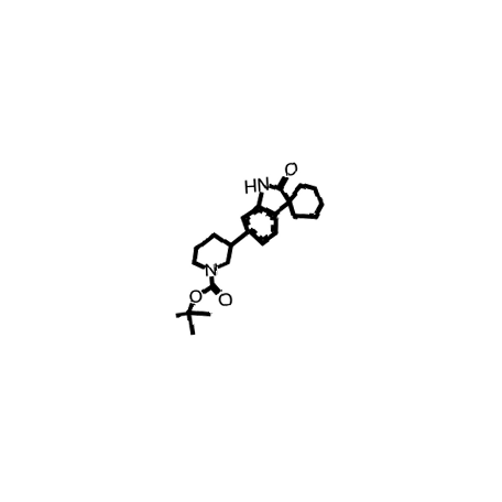 CC(C)(C)OC(=O)N1CCCC(c2ccc3c(c2)NC(=O)C32CCCCC2)C1